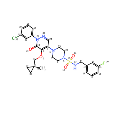 CC1(COc2c(N3CCN(S(=O)(=O)NCc4cccc(F)c4)CC3)cnn(-c3cccc(Cl)c3)c2=O)CC1